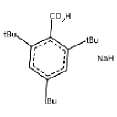 CC(C)(C)c1cc(C(C)(C)C)c(C(=O)O)c(C(C)(C)C)c1.[NaH]